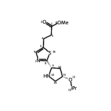 COC(=O)CCc1cnc([C@@H]2C[C@H](OC(C)C)CN2)s1